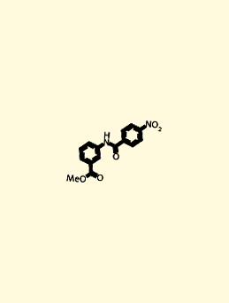 COC(=O)c1cccc(NC(=O)c2ccc([N+](=O)[O-])cc2)c1